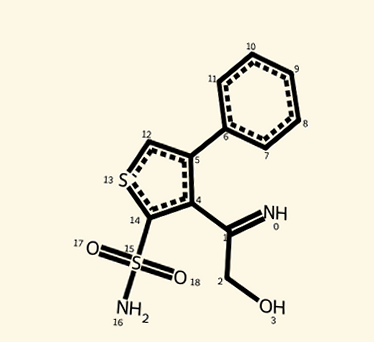 N=C(CO)c1c(-c2ccccc2)csc1S(N)(=O)=O